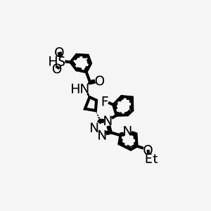 CCOc1ccc(-c2nnc([C@H]3C[C@H](NC(=O)c4cccc([SH](=O)=O)c4)C3)n2-c2ccccc2F)nc1